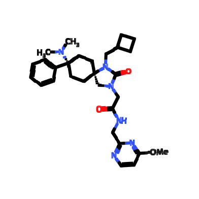 COc1ccnc(CNC(=O)CN2C[C@]3(CC[C@@](c4ccccc4)(N(C)C)CC3)N(CC3CCC3)C2=O)n1